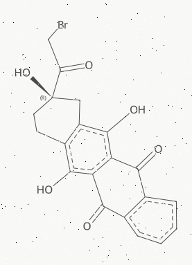 O=C1c2ccccc2C(=O)c2c(O)c3c(c(O)c21)CC[C@](O)(C(=O)CBr)C3